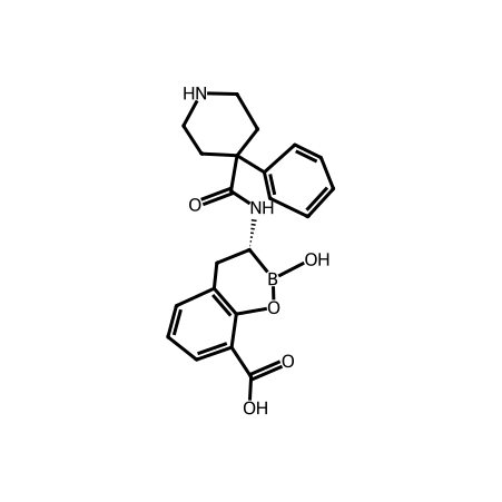 O=C(O)c1cccc2c1OB(O)[C@@H](NC(=O)C1(c3ccccc3)CCNCC1)C2